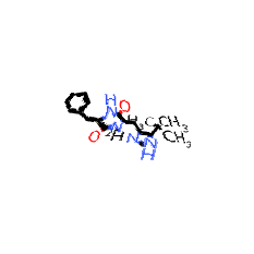 [2H]n1c(=O)c(=Cc2ccccc2)[nH]c(=O)c1=Cc1nc[nH]c1C(C)(C)C